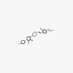 CCOc1ccc(/C=C/C2CCC(c3ccc(-c4ccc(C)cc4)c(F)c3F)CC2)c(F)c1